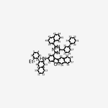 CCc1ccccc1-c1cc2ccccc2cc1Nc1cc(-c2nc(-c3cccc(-c4ccccc4)c3)nc(-c3cccc4ccccc34)n2)c2c(c1)oc1cc3ccccc3cc12